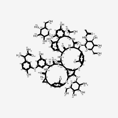 CC(=O)NC1[C@H](OC2c3ccc(c(Cl)c3)Oc3cc4cc(c3O[C@@H]3O[C@H](CO)C(O)[C@H](O)C3N)Oc3ccc(cc3Cl)C3C[C@H]3C(=O)N[C@@H](c3cc(O)cc(Oc5cc(C(N)C(N)=O)ccc5O)c3)C(=O)N[C@H]4C(=O)NC3C(=O)NC2C(=O)N[C@@H](C(=O)O)c2cc(O)cc(O[C@H]4OC(CO)[C@@H](O)C(O)C4O)c2-c2cc3ccc2O)O[C@H](CO)C(O)[C@@H]1O